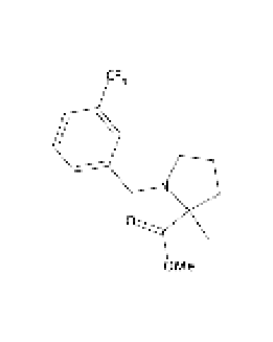 COC(=O)C1(C)CCCN1Cc1cccc(C(F)(F)F)c1